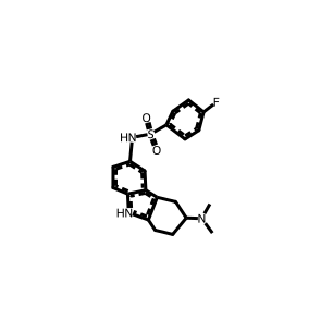 CN(C)C1CCc2[nH]c3ccc(NS(=O)(=O)c4ccc(F)cc4)cc3c2C1